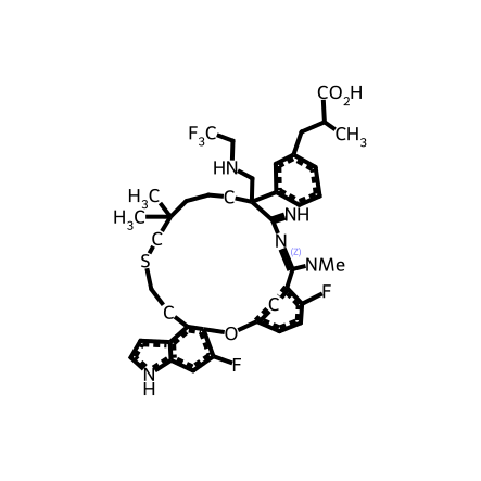 CN/C1=N\C(=N)C(CNCC(F)(F)F)(c2cccc(CC(C)C(=O)O)c2)CCCC(C)(C)CSCCc2c(c(F)cc3[nH]ccc23)Oc2ccc(F)c1c2